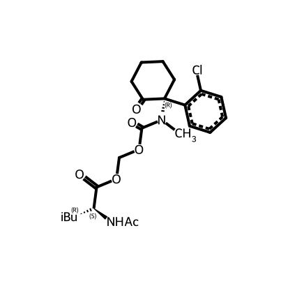 CC[C@@H](C)[C@H](NC(C)=O)C(=O)OCOC(=O)N(C)[C@@]1(c2ccccc2Cl)CCCCC1=O